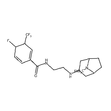 CCOC(=O)N1C2CCC1CC(NCCNC(=O)C1=CC(C(F)(F)F)C(F)C=C1)C2